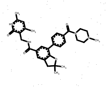 Cc1cc(C)c(CNC(=O)c2cc3c(c(-c4ccc(C(=O)N5CCN(C)CC5)cc4)c2)OC(C)(C)C3)c(=O)[nH]1